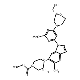 COc1nc(N2CCO[C@@H](CO)C2)cc(-n2ncc3cc(C)c([C@H]4CCN(C(=O)OC(C)(C)C)C[C@H]4F)cc32)n1